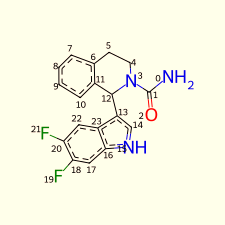 NC(=O)N1CCc2ccccc2C1c1c[nH]c2cc(F)c(F)cc12